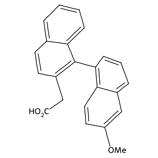 COc1ccc2c(-c3c(CC(=O)O)ccc4ccccc34)cccc2c1